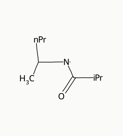 CCCC(C)[N]C(=O)C(C)C